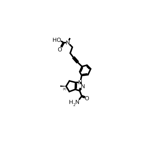 C[C@@H]1Cc2c(C(N)=O)nn(-c3cccc(C#CCCN(C)C(=O)O)c3)c2C1